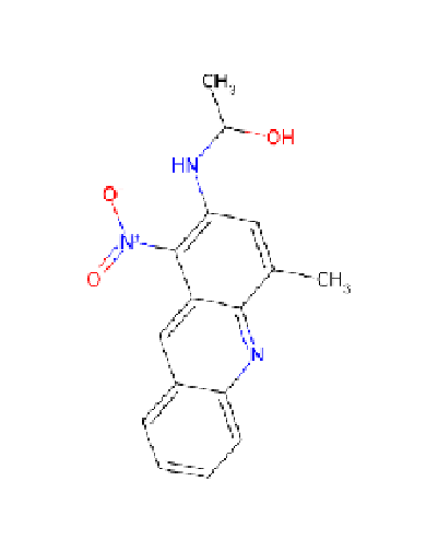 Cc1cc(NC(C)O)c([N+](=O)[O-])c2cc3ccccc3nc12